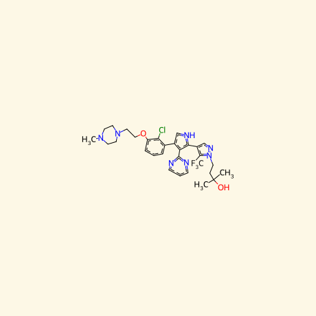 CN1CCN(CCOc2cccc(-c3c[nH]c(-c4cnn(CCC(C)(C)O)c4C(F)(F)F)c3-c3ncccn3)c2Cl)CC1